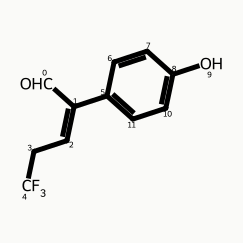 O=CC(=CCC(F)(F)F)c1ccc(O)cc1